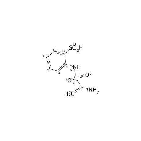 C=C(N)S(=O)(=O)Nc1ccccc1S(=O)(=O)O